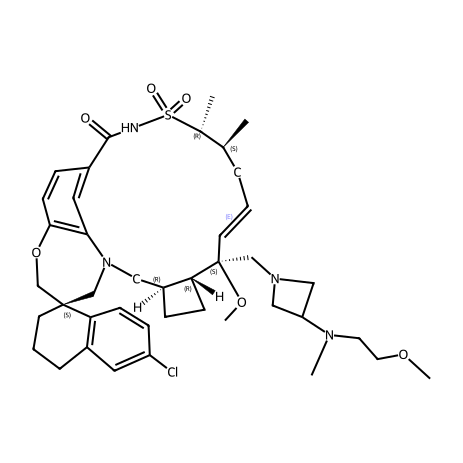 COCCN(C)C1CN(C[C@@]2(OC)/C=C/C[C@H](C)[C@@H](C)S(=O)(=O)NC(=O)c3ccc4c(c3)N(C[C@@H]3CC[C@H]32)C[C@@]2(CCCc3cc(Cl)ccc32)CO4)C1